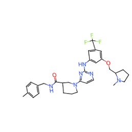 Cc1ccc(CNC(=O)C2CCCN(c3ccnc(Nc4cc(OCC5CCCN5C)cc(C(F)(F)F)c4)n3)C2)cc1